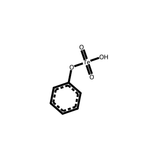 O=[Te](=O)(O)Oc1ccccc1